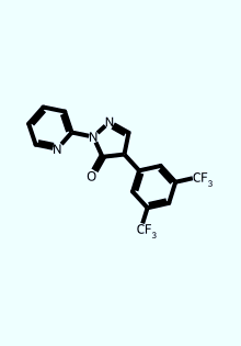 O=C1C(c2cc(C(F)(F)F)cc(C(F)(F)F)c2)C=NN1c1ccccn1